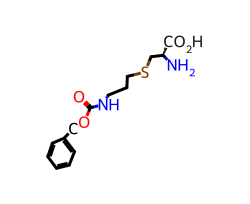 N[C@@H](CSCCCNC(=O)OCc1ccccc1)C(=O)O